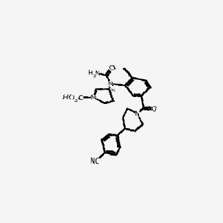 Cc1ccc(C(=O)N2CCC(c3ccc(C#N)cc3)CC2)cc1N(C(N)=O)[C@@H]1CCN(C(=O)O)C1